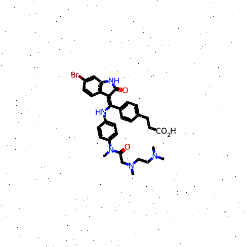 CN(C)CCN(C)CC(=O)N(C)c1ccc(NC(=C2C(=O)Nc3cc(Br)ccc32)c2ccc(CCC(=O)O)cc2)cc1